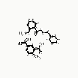 Cc1ccc(C(=O)O)cc1C(=O)O.NCc1ccccc1C(=O)CCCN1CCCCC1